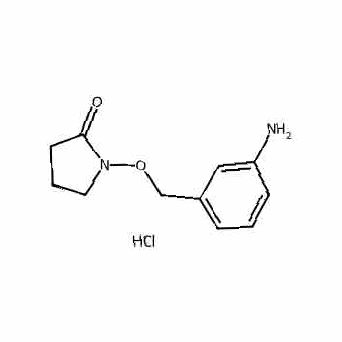 Cl.Nc1cccc(CON2CCCC2=O)c1